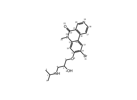 CC(C)NCC(O)COc1cc2c(cc1Br)c1ccncc1c(=O)n2C